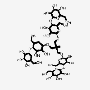 CC(CO[C@@H]1OC(CO)[C@@H](O[C@@H]2OC(CO)[C@H](O)[C@H](O)C2O)[C@H](O)C1O)(CO[C@@H]1OC(CO)[C@@H](O[C@@H]2OC(CO)[C@H](O)[C@H](O)C2O)[C@H](O)C1O)CO[C@@H]1CC(CO)[C@@H](O[C@@H]2CC(CO)[C@H](O)[C@H](O)C2O)[C@H](O)C1O